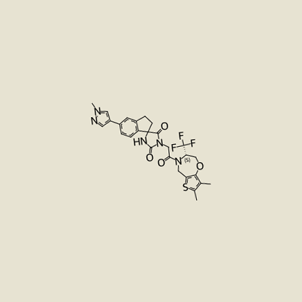 Cc1sc2c(c1C)OC[C@@H](C(F)(F)F)N(C(=O)CN1C(=O)NC3(CCc4cc(-c5cnn(C)c5)ccc43)C1=O)C2